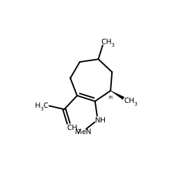 C=C(C)C1=C(NNC)[C@H](C)CC(C)CC1